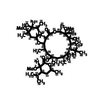 [2H]C1(OC)C(O[C@@H]2[C@@H](C)C(OC3CC(C)(OC)C([2H])(O)C(C)O3)[C@@H](C)C(=O)O[C@H](CC)[C@@](C)(OC)[C@]([2H])(O)[C@@H](C)N(C([2H])([2H])C)C([2H])([2H])[C@H](C)C[C@@]2(C)O)OC(C)CC1N(C)C